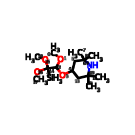 COC(OC1CC(C)(C)NC(C)(C)C1)C([SiH3])(OC)OC